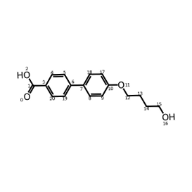 O=C(O)c1ccc(-c2ccc(OCCCCO)cc2)cc1